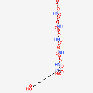 O=CCOCCOCCNC(=O)COCCOCCNC(=O)COCCOCCNC(=O)COCCOCCNC(=O)COCCOCCNC(=O)CC[C@H](NC(=O)CCCCCCCCCCCCCCCCCCCCC(=O)O)C(=O)O